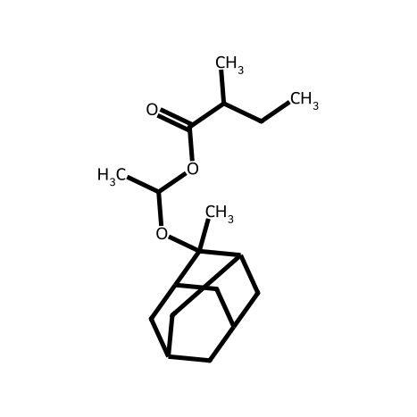 CCC(C)C(=O)OC(C)OC1(C)C2CC3CC(C2)CC1C3